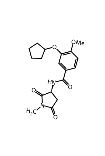 COc1ccc(C(=O)N[C@H]2CC(=O)N(C)C2=O)cc1OC1CCCC1